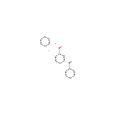 CCOP(=O)(C(=O)c1c(Cl)ccc(C(=O)c2ccccc2)c1Cl)c1ccccc1